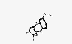 CC(C)Oc1ccc2c(c1)Oc1cc(F)c(F)cc1S2